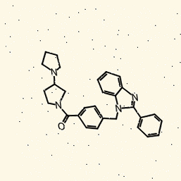 O=C(c1ccc(Cn2c(-c3ccccc3)nc3ccccc32)cc1)N1CCC(N2CCCC2)C1